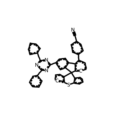 N#Cc1ccc(-c2cccc3c2-c2ccc(-c4nc(-c5ccccc5)nc(-c5ccccc5)n4)cc2C32c3ccccc3Sc3ccccc32)cc1